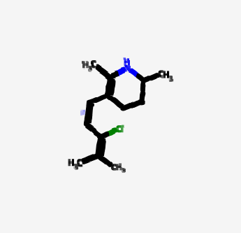 CC(C)=C(Cl)/C=C\C1=C(C)NC(C)CC1